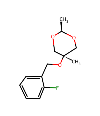 C[C@H]1OC[C@@](C)(OCc2ccccc2F)CO1